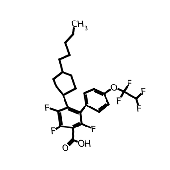 CCCCCC1CCC(c2c(F)c(F)c(C(=O)O)c(F)c2-c2ccc(OC(F)(F)C(F)F)cc2)CC1